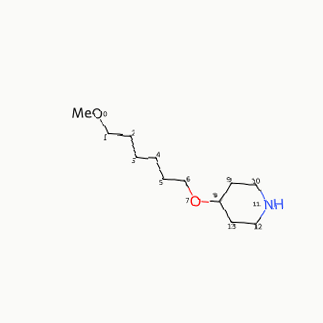 COCCCCCCOC1CCNCC1